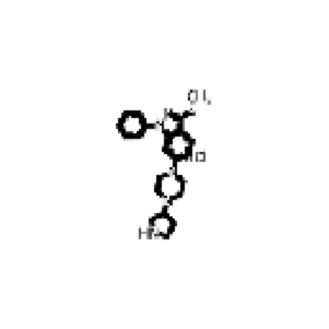 CSc1nn(-c2ccccc2)c2cc(N3CCN(C4CCNC4)CC3)ccc12.Cl